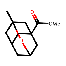 COC(=O)C12CC3CC(C1)OC(C)(C3)C2